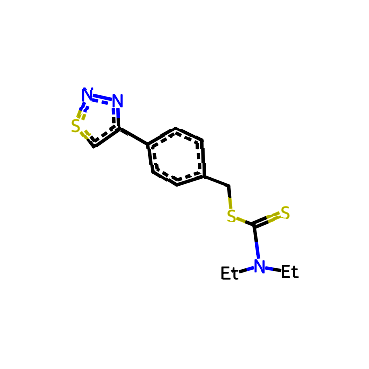 CCN(CC)C(=S)SCc1ccc(-c2csnn2)cc1